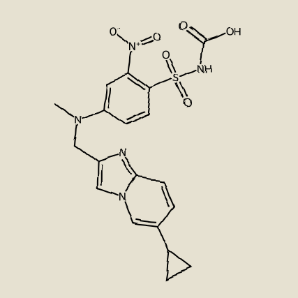 CN(Cc1cn2cc(C3CC3)ccc2n1)c1ccc(S(=O)(=O)NC(=O)O)c([N+](=O)[O-])c1